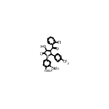 COc1ccc(N2C(=O)C(O)=C(C(=O)c3ccccc3Cl)C2c2ccc(C(F)(F)F)cc2)cc1OC